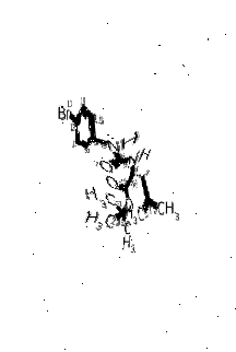 CC(C)C[C@@H](NC(=O)Nc1ccc(Br)cc1)C(=O)OC(C)(C)C